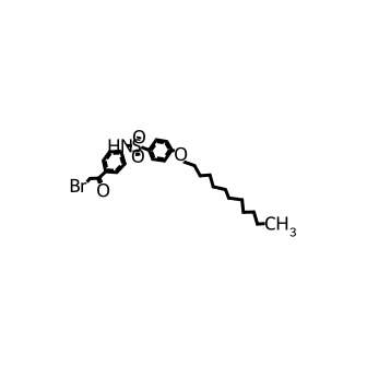 CCCCCCCCCCCCOc1ccc(S(=O)(=O)Nc2ccc(C(=O)CBr)cc2)cc1